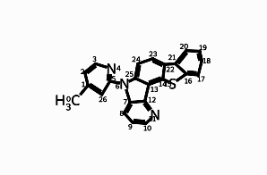 Cc1ccnc(-n2c3cccnc3c3c4sc5ccccc5c4ccc32)c1